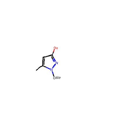 COn1nc(O)cc1C